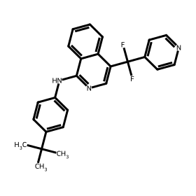 CC(C)(C)c1ccc(Nc2ncc(C(F)(F)c3ccncc3)c3ccccc23)cc1